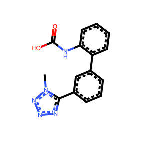 Cn1nnnc1-c1cccc(-c2ccccc2NC(=O)O)c1